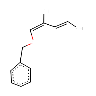 CC=CC(C)=COCc1ccccc1